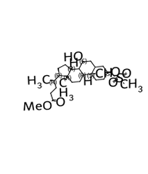 COC(=O)CC[C@@H](C)[C@H]1CC[C@@H]2C3[C@@H](CC[C@@]21C)[C@@]1(C)CC[C@H](OS(C)(=O)=O)CC1C[C@@H]3O